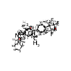 Cc1cc(CN2CC3CCC(C2)N3c2noc(C(C)(C)C)n2)ccc1-c1ccc(C(O)(C(F)(F)F)C(F)(F)F)cc1